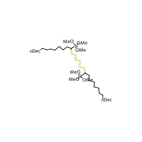 CCCCCCCCCCCCCCCCCC(SSSSSSC(CCCCCCCCCCCCCCCCC)[Si](OC)(OC)OC)[Si](OC)(OC)OC